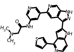 CN(C)CC(=O)Nc1cncc(-c2cc3c(-c4cc5c(-c6ccsc6)nccc5[nH]4)n[nH]c3cn2)c1